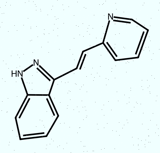 C(=Cc1n[nH]c2ccccc12)c1ccccn1